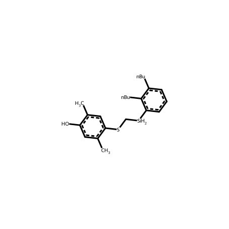 CCCCc1cccc([SiH2]CSc2cc(C)c(O)cc2C)c1CCCC